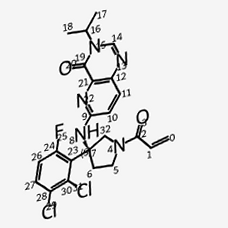 C=CC(=O)N1CC[C@](Nc2ccc3ncn(C(C)C)c(=O)c3n2)(c2c(F)ccc(Cl)c2Cl)C1